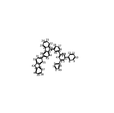 c1ccc(-c2cc(-c3ccccc3)nc(-c3cccc(-n4c5ccccc5c5cc(-c6ccc7c(c6)-c6ccccc6C7)ccc54)c3)c2)cc1